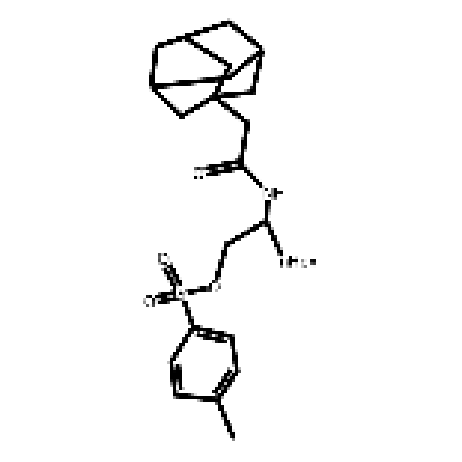 CCCCCCC(COS(=O)(=O)c1ccc(C)cc1)NC(=O)CC12CC3CC(CC(C3)C1)C2